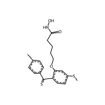 CSc1ccc(C(=S)c2ccc(C)cc2)c(OCCCCC(=O)NO)c1